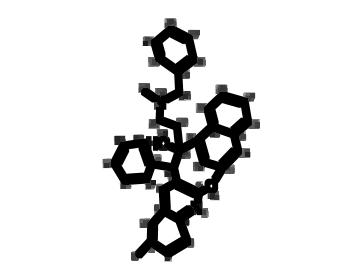 Cc1ccc2nc3c(cc2c1)C(c1ccccc1)C(O)(CCN(C)Cc1ccccc1)c1cc(cc2ccccc12)O3